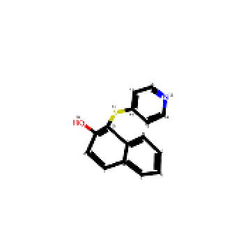 Oc1ccc2ccccc2c1Sc1ccncc1